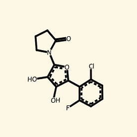 O=C1CCCN1c1oc(-c2c(F)cccc2Cl)c(O)c1O